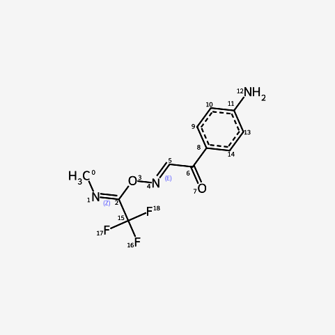 C/N=C(\O/N=C/C(=O)c1ccc(N)cc1)C(F)(F)F